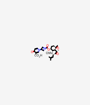 CO[C@@H]1[C@H](OC(=O)N2CC(n3ccc(=O)c(C(=O)O)c3)C2)CC[C@]2(CO2)[C@H]1[C@@]1(C)O[C@@H]1CC=C(C)C